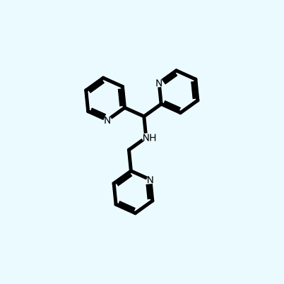 c1ccc(CNC(c2ccccn2)c2ccccn2)nc1